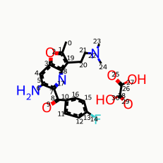 Cc1oc2cc(N)c(C(=O)c3ccc(F)cc3)nc2c1CCN(C)C.O=C(O)C(=O)O